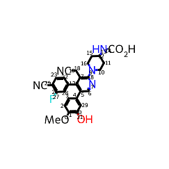 COc1ccc(-c2cnc(N3CCC(NC(=O)O)CC3)c(CC#N)c2-c2ccc(C#N)c(F)c2)cc1O